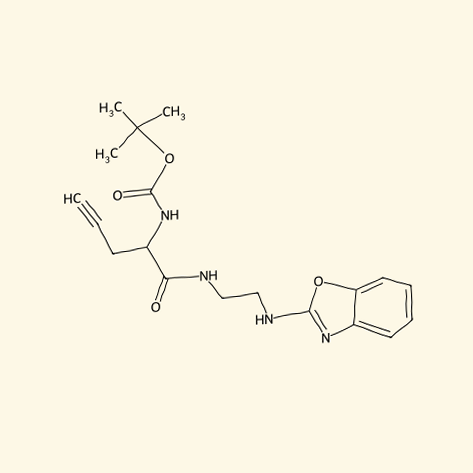 C#CCC(NC(=O)OC(C)(C)C)C(=O)NCCNc1nc2ccccc2o1